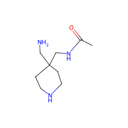 CC(=O)NCC1(CN)CCNCC1